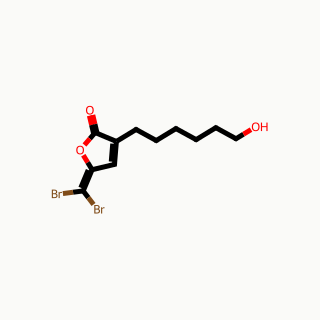 O=C1OC(=C(Br)Br)C=C1CCCCCCO